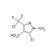 Cn1nc(C(F)(F)Cl)c(C(=O)O)c1Cl